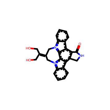 O=C1NCc2c1c1c3ccccc3n3c1c1c2c2ccccc2n1CC(=C(CO)CO)C3